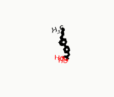 CCCCCC1CCC(C2CCC(CC(CO)CO)CC2)CC1